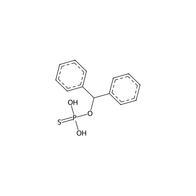 OP(O)(=S)OC(c1ccccc1)c1ccccc1